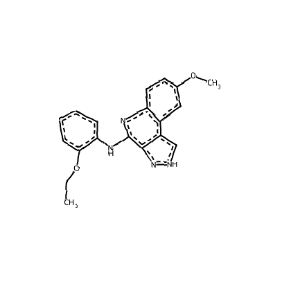 CCOc1ccccc1Nc1nc2ccc(OC)cc2c2c[nH]nc12